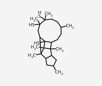 CC1CCC2C3(C)C4CC(C)CC4C4(C)C(CC(C)(S)C(C)(S)CC1)C2(S)C34C